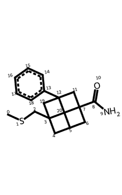 CSCC12CC3CC4(C(N)=O)CC(c5ccccc5)(C1)C324